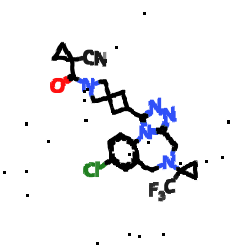 N#CC1(C(=O)N2CC3(CC(c4nnc5n4-c4ccc(Cl)cc4CN(C4(C(F)(F)F)CC4)C5)C3)C2)CC1